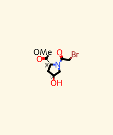 COC(=O)[C@H]1C[C@H](O)CN1C(=O)CBr